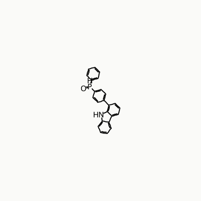 O=[PH](c1ccccc1)c1ccc(-c2cccc3c2[nH]c2ccccc23)cc1